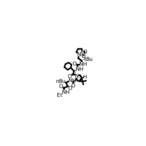 CCCCC(NC(=O)[C@@H]1C2[C@H](CN1C(=O)[C@@H](NC(=O)N[C@H](CN1CCCS1(=O)=O)C(C)(C)C)C1CCCCC1)C2(C)C)C(=O)C(=O)NCC